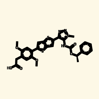 COc1cc(-c2cc3sc(-c4nnn(C)c4NC(=O)O[C@H](C)c4ccccc4)cc3s2)c(OC)cc1CC(=O)O